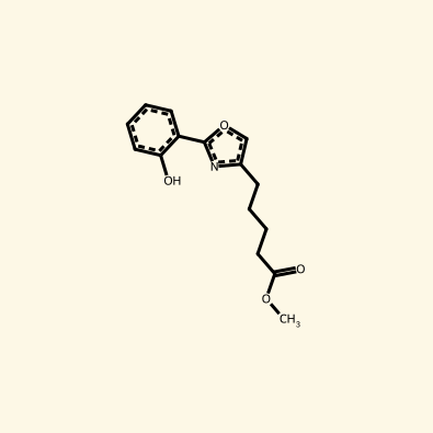 COC(=O)CCCCc1coc(-c2ccccc2O)n1